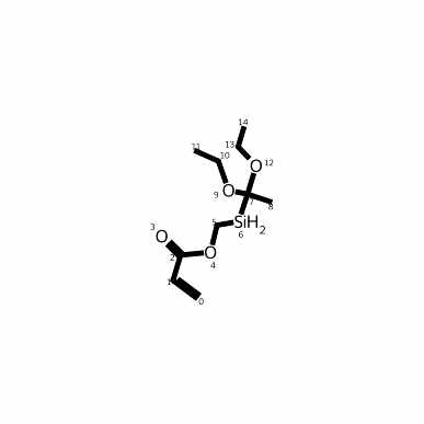 C=CC(=O)OC[SiH2]C(C)(OCC)OCC